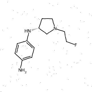 Nc1ccc(N[C@@H]2CCN(CCF)C2)cc1